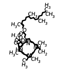 C=Cc1c(C)c2cc3nc(c4c5[nH]c(cc6nc(cc1[nH]2)C(C)=C6CC)c(C)c5C(=O)[C@]4(O)C(=O)OC)[C@@H](CCC(=O)OC/C=C(\C)CCCC(C)CCCC(C)CCCC(C)C)C3